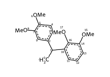 [CH2]C(c1ccc(OC)c(OC)c1)c1cccc(OC)c1OC